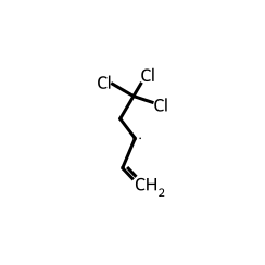 C=C[CH]CC(Cl)(Cl)Cl